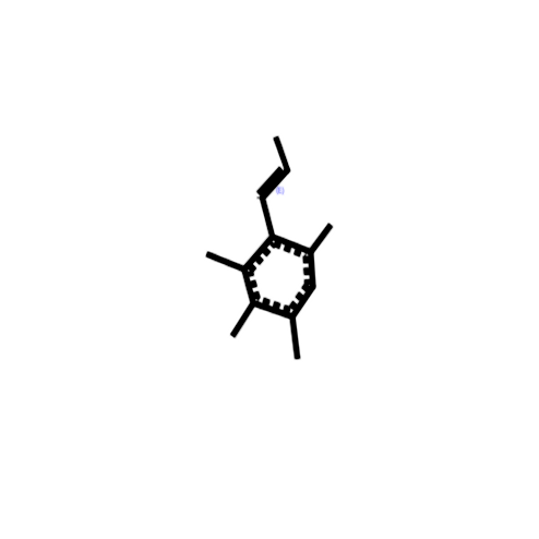 C/C=[C]/c1c(C)cc(C)c(C)c1C